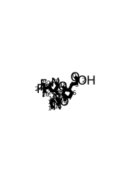 O=C(O)C=Cc1ccc(Oc2ncccn2)cc1Oc1ncc(C(F)(F)F)cc1Cl